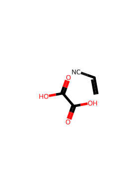 C=CC#N.O=C(O)C(=O)O